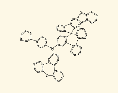 c1ccc(-c2ccc(N(c3ccc4c(c3)-c3ccccc3Oc3ccccc3-4)c3ccc4c(c3)-c3ccccc3-c3ccccc3C43c4ccccc4-c4cc5sc6ccccc6c5cc43)cc2)cc1